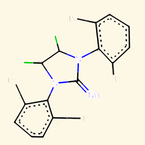 CC(C)c1cccc(C(C)C)c1N1C(=N)N(c2c(C(C)C)cccc2C(C)C)C(Cl)C1Cl